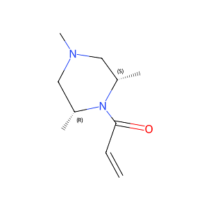 C=CC(=O)N1[C@H](C)CN(C)C[C@@H]1C